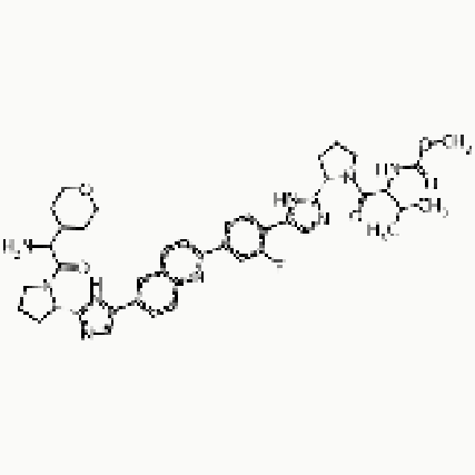 COC(=O)N[C@H](C(=O)N1CCC[C@H]1c1ncc(-c2ccc(-c3ccc4cc(-c5cnc([C@@H]6CCCN6C(=O)[C@@H](N)C6CCOCC6)[nH]5)ccc4n3)cc2F)[nH]1)C(C)C